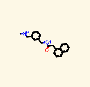 CNCc1cccc(CNC(=O)Cc2cccc3ccccc23)c1